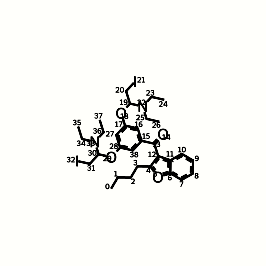 CCCCc1oc2ccccc2c1C(=O)c1cc(OC(CI)N(CC)CC)cc(OC(CI)N(CC)CC)c1